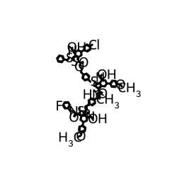 COc1ccc(C2C/C(=N\O)c3c(SCc4ccc(C(C)NC(=O)c5sc(SCc6ccc(CCOC(=O)c7sc(SCc8ccccc8)c8c7CC(c7ccc(Cl)cc7)C/C8=N\O)cc6)c6c5CC(c5ccc(OC)cc5)C/C6=N\O)cc4)sc(C(=O)NCc4cccc(F)c4)c3C2)cc1